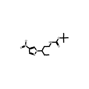 CCC(CCNC(=O)OC(C)(C)C)n1cc([N+](=O)[O-])cn1